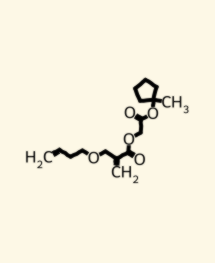 C=CCCOCC(=C)C(=O)OCC(=O)OC1(C)CCCC1